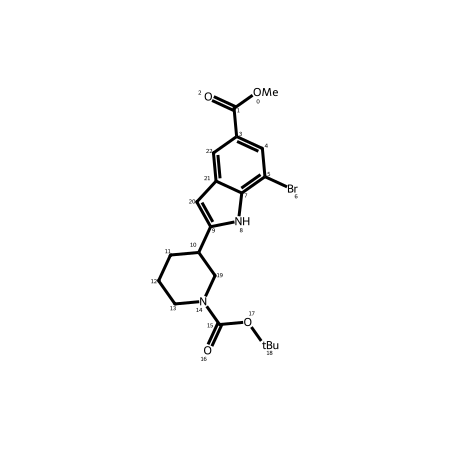 COC(=O)c1cc(Br)c2[nH]c(C3CCCN(C(=O)OC(C)(C)C)C3)cc2c1